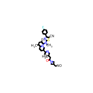 C=C(/C=N\C(=C/C)C1=CN2C(=C(C)CC(CC)=C2N(C)c2nc(-c3ccc(F)cc3)c(C#N)s2)C=C1)CC(=O)N1CC(CN=O)C1